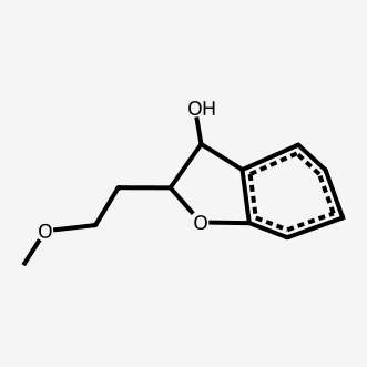 COCCC1Oc2ccccc2C1O